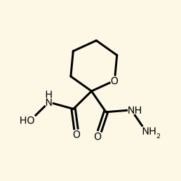 NNC(=O)C1(C(=O)NO)CCCCO1